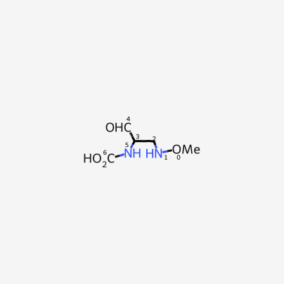 CONCC(C=O)NC(=O)O